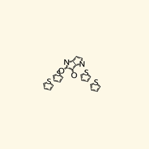 O=c1nc2ccnc-2c1=O.c1ccsc1.c1ccsc1.c1ccsc1.c1ccsc1